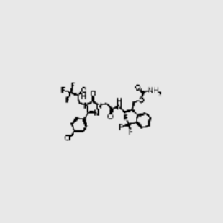 NC(=O)OCC(CNC(=O)Cn1nc(-c2ccc(Cl)cc2)n(C[C@H](O)C(F)(F)F)c1=O)c1ccccc1C(F)(F)F